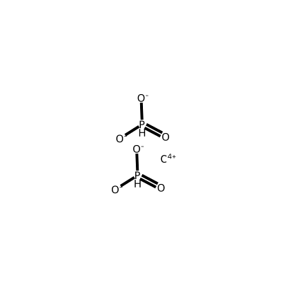 O=[PH]([O-])[O-].O=[PH]([O-])[O-].[C+4]